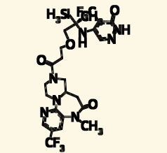 CN1C(=O)CC2CN(C(=O)CCOC[C@](C)([SiH3])Nc3cn[nH]c(=O)c3C(F)(F)F)CCN2c2ncc(C(F)(F)F)cc21